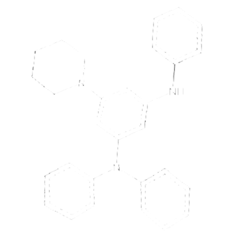 c1ccc(Nc2cc(N3CCCCC3)cc(N(c3ccccc3)c3ccccc3)c2)cc1